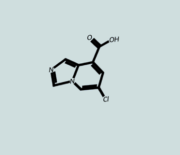 O=C(O)c1cc(Cl)cn2cncc12